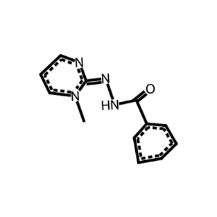 Cn1cccnc1=NNC(=O)c1ccccc1